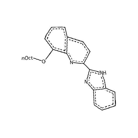 CCCCCCCCOc1cccc2ccc(-c3nc4ccccc4[nH]3)nc12